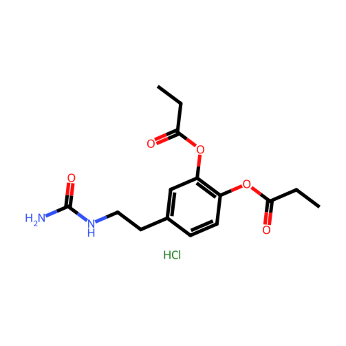 CCC(=O)Oc1ccc(CCNC(N)=O)cc1OC(=O)CC.Cl